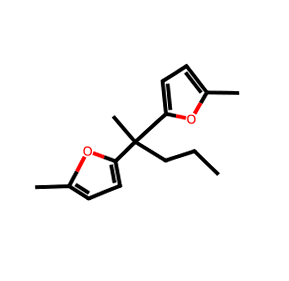 CCCC(C)(c1ccc(C)o1)c1ccc(C)o1